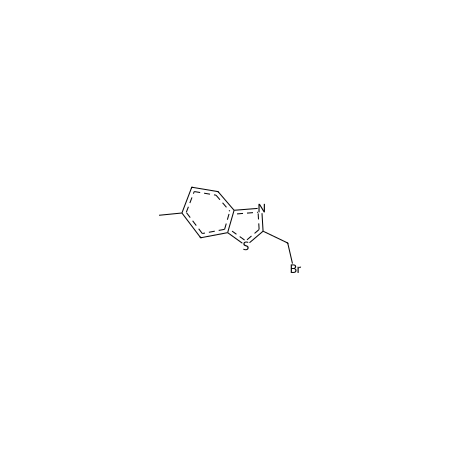 Cc1ccc2nc(CBr)sc2c1